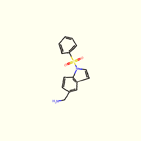 NCc1ccc2c(ccn2S(=O)(=O)c2ccccc2)c1